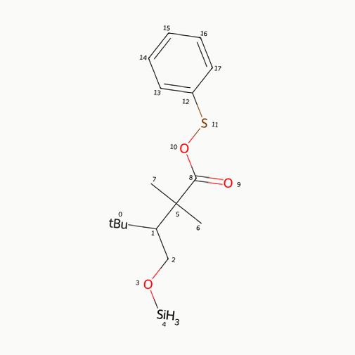 CC(C)(C)C(CO[SiH3])C(C)(C)C(=O)OSc1ccccc1